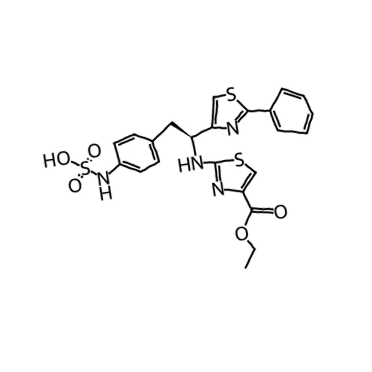 CCOC(=O)c1csc(N[C@@H](Cc2ccc(NS(=O)(=O)O)cc2)c2csc(-c3ccccc3)n2)n1